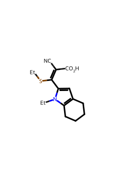 CCSC(=C(C#N)C(=O)O)c1cc2c(n1CC)CCCC2